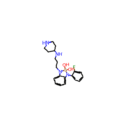 OS1(O)N(CCCNC2CCNCC2)c2ccccc2N1c1ccccc1F